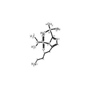 CN(C)S(=O)(=O)n1c(CCCCN)cnc1[Si](C)(C)C(C)(C)C